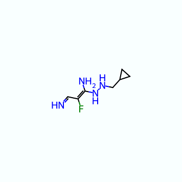 N=C/C(F)=C(\N)NNCC1CC1